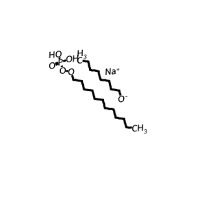 CCCCCCCCCCCCOOP(=O)(O)O.CCCCCCCC[O-].[Na+]